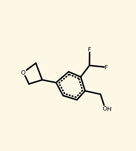 OCc1ccc(C2COC2)cc1C(F)F